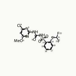 COc1cc(Cl)nc(NC(=O)NS(=O)(=O)c2ccccc2SC(F)F)n1